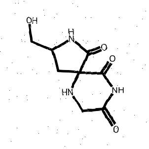 O=C1CNC2(CC(CO)NC2=O)C(=O)N1